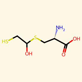 N[C@@H](CSC(O)CS)C(=O)O